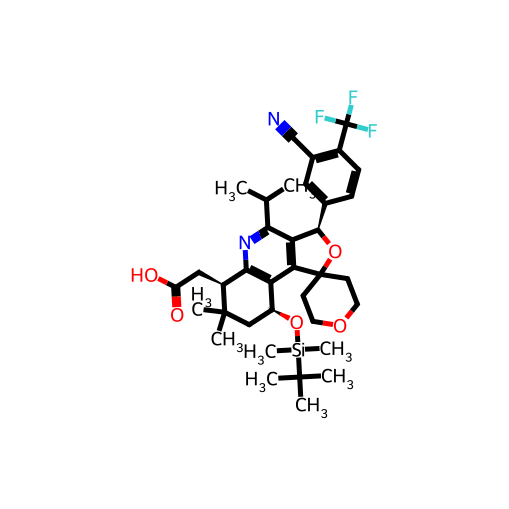 CC(C)c1nc2c(c3c1[C@@H](c1ccc(C(F)(F)F)c(C#N)c1)OC31CCOCC1)[C@@H](O[Si](C)(C)C(C)(C)C)CC(C)(C)[C@H]2CC(=O)O